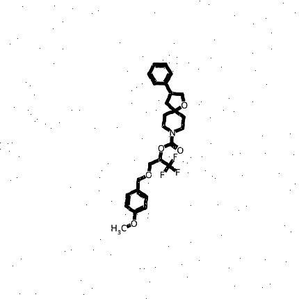 COc1ccc(COCC(OC(=O)N2CCC3(CC2)CC(c2ccccc2)CO3)C(F)(F)F)cc1